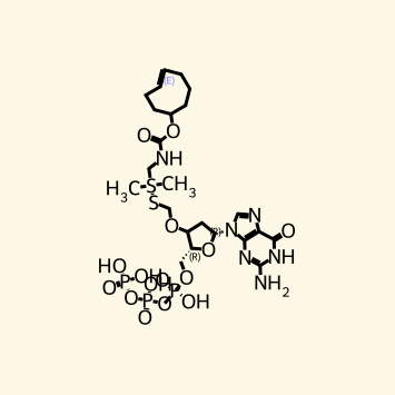 CS(C)(CNC(=O)OC1CC/C=C/CCC1)SCOC1C[C@H](n2cnc3c(=O)[nH]c(N)nc32)O[C@@H]1COP(=O)(O)OP(=O)(O)OP(=O)(O)O